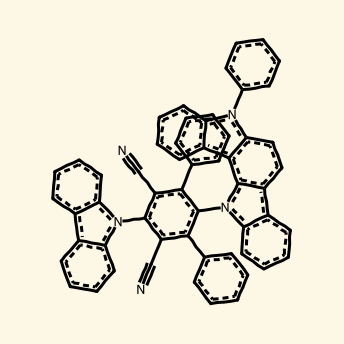 N#Cc1c(-c2ccccc2)c(-n2c3ccccc3c3ccc4c(c5ccccc5n4-c4ccccc4)c32)c(-c2ccccc2)c(C#N)c1-n1c2ccccc2c2ccccc21